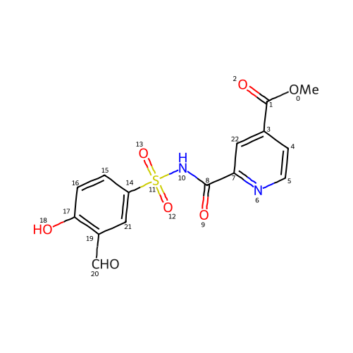 COC(=O)c1ccnc(C(=O)NS(=O)(=O)c2ccc(O)c(C=O)c2)c1